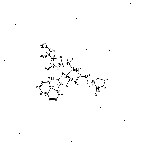 C[C@@H]1C[C@@H](N(C)c2nc(OC[C@@H]3CCCN3C)nc3c2CCN(c2cccc4cccc(Cl)c24)C3)CN1C(=O)OC(C)(C)C